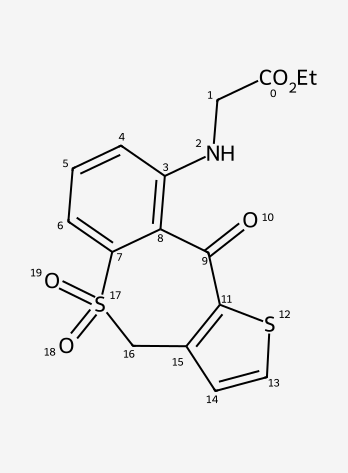 CCOC(=O)CNc1cccc2c1C(=O)c1sccc1CS2(=O)=O